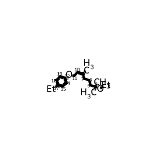 CCOC(C)(C)CCCC(C)=CCOc1ccc(CC)cc1